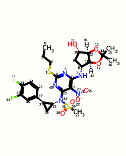 CCCSc1nc(N[C@@H]2C[C@H](O)[C@H]3OC(C)(C)O[C@H]32)c([N+](=O)[O-])c(N([C@@H]2C[C@H]2c2ccc(F)c(F)c2)S(C)(=O)=O)n1